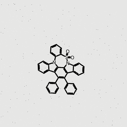 O=S1(=O)c2ccccc2-n2c3ccccc3c3c(-c4ccccc4)c(-c4ccccc4)c4c5ccccc5n1c4c32